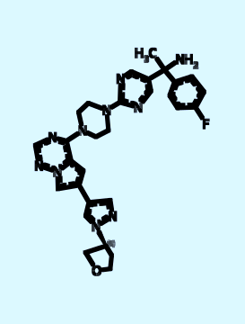 CC(N)(c1ccc(F)cc1)c1cnc(N2CCN(c3ncnn4cc(-c5cnn([C@H]6CCOC6)c5)cc34)CC2)nc1